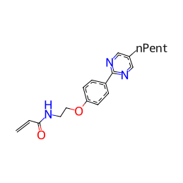 C=CC(=O)NCCOc1ccc(-c2ncc(CCCCC)cn2)cc1